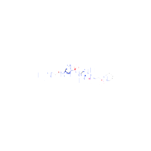 Cn1cc(NC(=O)CCN)cc1C(=O)Nc1cn(C)c(C(=O)NCCC(=O)N2CCCCC2)n1